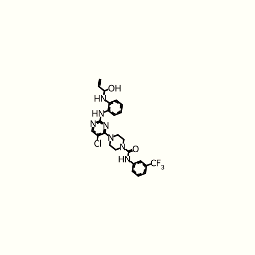 C=CC(O)Nc1ccccc1Nc1ncc(Cl)c(N2CCN(C(=O)Nc3cccc(C(F)(F)F)c3)CC2)n1